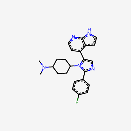 CN(C)C1CCC(n2c(-c3ccnc4[nH]ccc34)cnc2-c2ccc(F)cc2)CC1